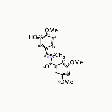 COc1cc(C(=O)/C(C)=C/c2ccc(OC)c(O)c2)cc(OC)n1